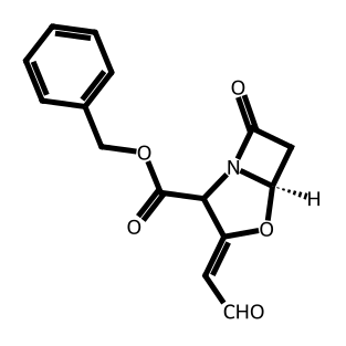 O=CC=C1O[C@@H]2CC(=O)N2C1C(=O)OCc1ccccc1